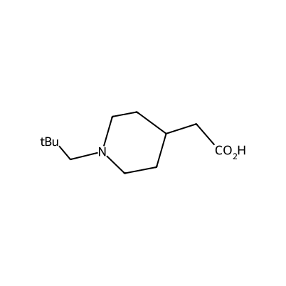 CC(C)(C)CN1CCC(CC(=O)O)CC1